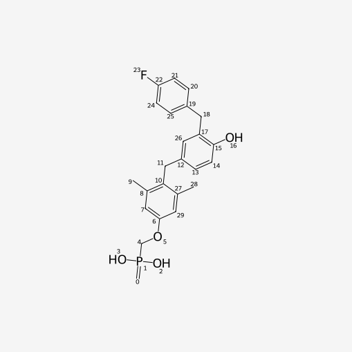 C=P(O)(O)COc1cc(C)c(Cc2ccc(O)c(Cc3ccc(F)cc3)c2)c(C)c1